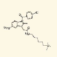 COc1ccc2c(c1)c(CC(=O)NCCCCCC[Si](C)(C)C)c(C)n2C(=O)c1ccc(Cl)cc1